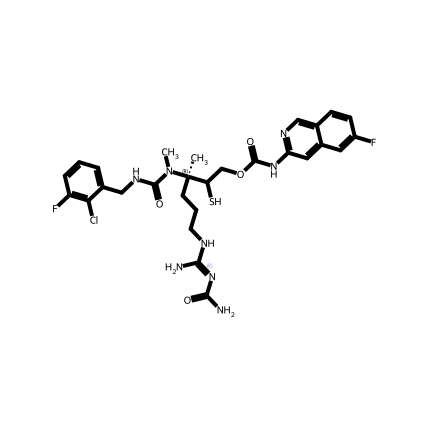 CN(C(=O)NCc1cccc(F)c1Cl)[C@](C)(CCCN/C(N)=N/C(N)=O)C(S)COC(=O)Nc1cc2cc(F)ccc2cn1